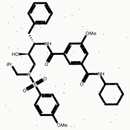 COc1ccc(S(=O)(=O)N(CC(C)C)C[C@@H](O)[C@H](Cc2ccccc2)NC(=O)c2cc(OC)cc(C(=O)NC3CCCCC3)c2)cc1